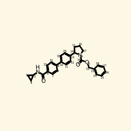 O=C(NC1CC1)c1ccc(-c2ccc(C3CCCN3C(=O)OCc3ccccc3)cc2)cc1